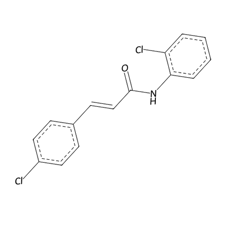 O=C(/C=C/c1ccc(Cl)cc1)Nc1ccccc1Cl